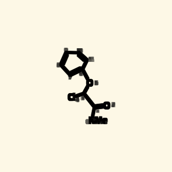 CNC(=O)C(Cl)Oc1ccccc1